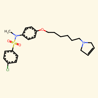 CN(c1ccc(OCCCCCCN2CC=CC2)cc1)S(=O)(=O)c1ccc(Cl)cc1